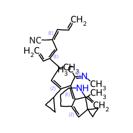 C=C/C=C(C#N)\C=C(/C=C)C(C)\C=C(C(/C(C)=N\C)=C(C(=C)C)\C1=C/C2(CC2)CNCCC1)\C1CC1